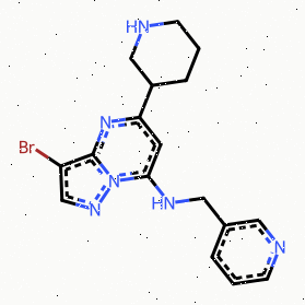 Brc1cnn2c(NCc3cccnc3)cc(C3CCCNC3)nc12